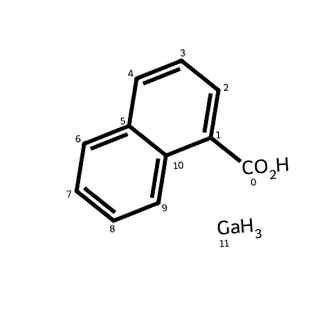 O=C(O)c1cccc2ccccc12.[GaH3]